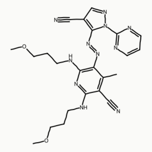 COCCCNc1nc(NCCCOC)c(N=Nc2c(C#N)cnn2-c2ncccn2)c(C)c1C#N